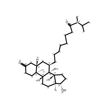 CC(C)N(C)C(=O)CCCCCCC[C@@H]1C[C@H]2CC(=O)CC[C@]2(C)[C@H]2CC[C@]3(C)[C@@H](O)CC[C@H]3[C@H]12